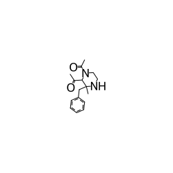 CC(=O)C1N(C(C)=O)CCNC1(C)Cc1ccccc1